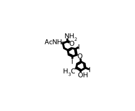 CC(=O)N[C@@H](Cc1cc(I)c(Oc2cc(C)c(O)c(I)c2)c(I)c1)C(N)=O